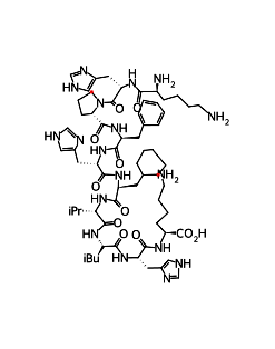 CC[C@H](C)[C@H](NC(=O)[C@@H](NC(=O)[C@H](CC1CCCCC1)NC(=O)[C@H](Cc1c[nH]cn1)NC(=O)[C@H](Cc1ccccc1)NC(=O)[C@@H]1CCCN1C(=O)[C@H](Cc1c[nH]cn1)NC(=O)[C@@H](N)CCCCN)C(C)C)C(=O)N[C@@H](Cc1c[nH]cn1)C(=O)N[C@@H](CCCCN)C(=O)O